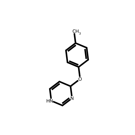 Cc1ccc(O[C]2C=CNC=N2)cc1